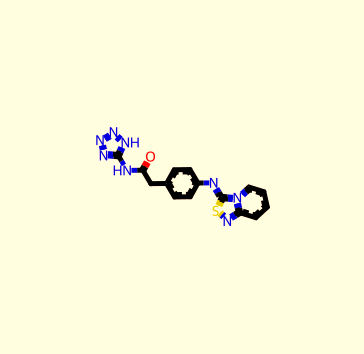 O=C(Cc1ccc(/N=c2\snc3ccccn23)cc1)Nc1nnn[nH]1